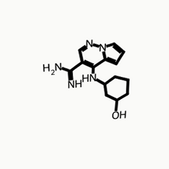 N=C(N)c1cnn2cccc2c1NC1CCCC(O)C1